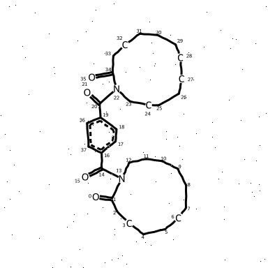 O=C1CCCCCCCCCCCN1C(=O)c1ccc(C(=O)N2CCCCCCCCCCCC2=O)cc1